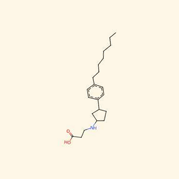 CCCCCCCCc1ccc(C2CCC(NCCC(=O)O)C2)cc1